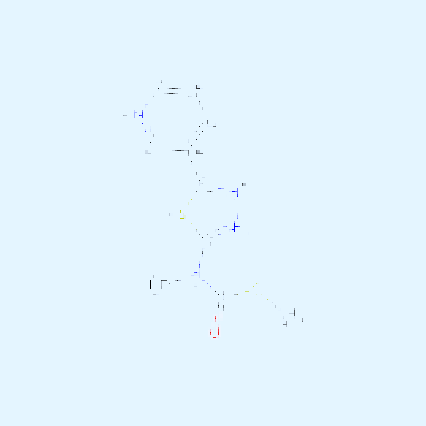 CSC(=O)N(C)c1nnc(-c2cccnc2)s1